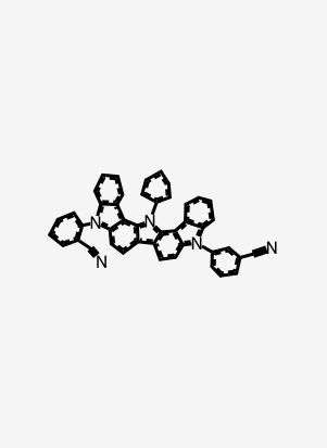 N#Cc1cccc(-n2c3ccccc3c3c2ccc2c4ccc5c(c6ccccc6n5-c5ccccc5C#N)c4n(-c4ccccc4)c23)c1